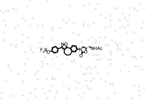 CC(=O)NC[C@H]1CN(c2ccc3c(c2)CCCc2c(-c4ccc(OC(F)(F)F)cc4)noc2-3)C(=O)O1